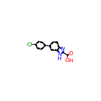 O=C(O)c1nc2ccc(-c3ccc(Cl)cc3)cc2[nH]1